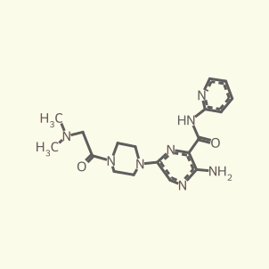 CN(C)CC(=O)N1CCN(c2cnc(N)c(C(=O)Nc3ccccn3)n2)CC1